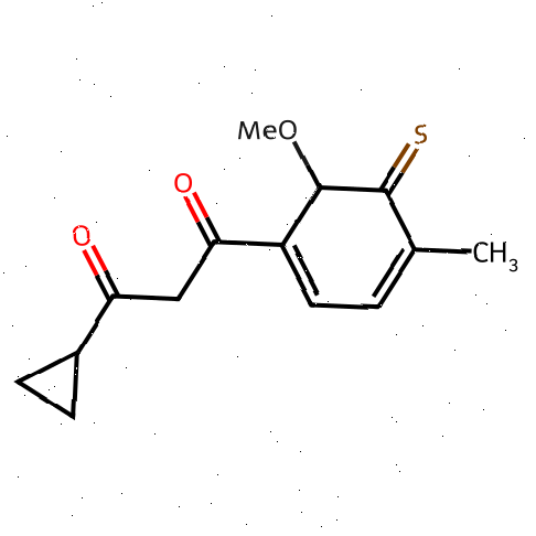 COC1C(=S)C(C)=CC=C1C(=O)CC(=O)C1CC1